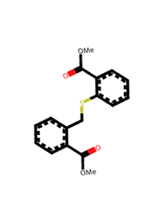 COC(=O)c1ccccc1CSc1ccccc1C(=O)OC